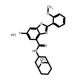 COc1ccccc1-c1nc2c(C(=O)NC3CC4CCCC(C3)N4C)cc(F)cc2o1.Cl